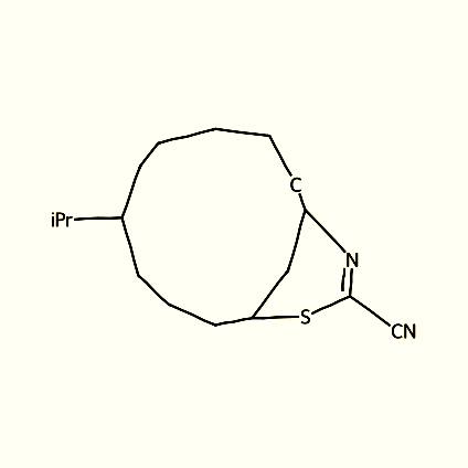 CC(C)C1CCCCCC2CC(CCC1)SC(C#N)=N2